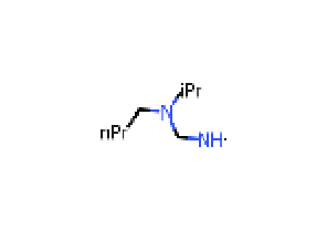 CCCCN(C[NH])C(C)C